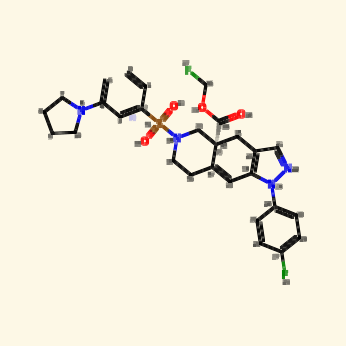 C=C/C(=C\C(=C)N1CCCC1)S(=O)(=O)N1CCC2=Cc3c(cnn3-c3ccc(F)cc3)C[C@]2(C(=O)OCF)C1